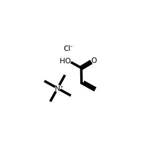 C=CC(=O)O.C[N+](C)(C)C.[Cl-]